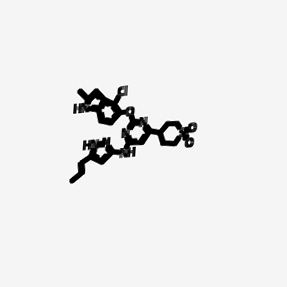 C/C=C/c1cc(Nc2cc(C3CCS(=O)(=O)CC3)nc(Oc3ccc4[nH]c(C)cc4c3Cl)n2)n[nH]1